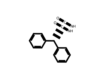 C=C.C=C.N=C=O.N=C=O.c1ccc(Cc2ccccc2)cc1